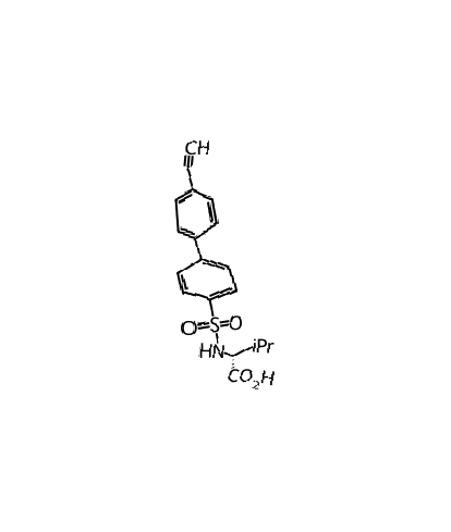 C#Cc1ccc(-c2ccc(S(=O)(=O)N[C@@H](C(=O)O)C(C)C)cc2)cc1